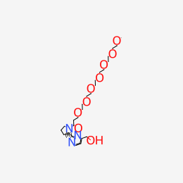 COCCOCCOCCOCCOCCOCCOCCC(=O)N1CCC[C@@H]1c1nccc(CO)n1